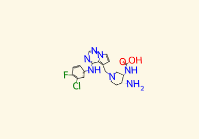 N[C@@H]1CCN(Cc2ccn3ncnc(Nc4ccc(F)c(Cl)c4)c23)C[C@@H]1NC(=O)O